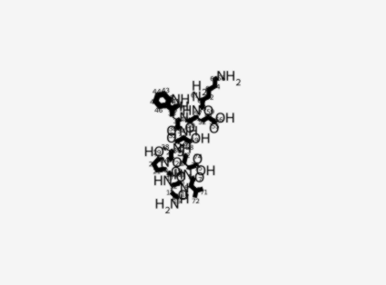 CSCC[C@H](NC(=O)[C@@H](NC(=O)[C@H](CC(N)=O)NC(=O)[C@@H]1CCCN1C(=O)[C@H](CO)NC(=O)[C@@H](NC(=O)[C@H](Cc1c[nH]c2ccccc12)NC(=O)[C@H](CCC(=O)O)NC(=O)[C@@H](N)CCCCN)[C@@H](C)O)C(C)C)C(=O)O